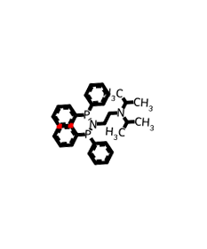 CC(C)N(CCN(P(c1ccccc1)c1ccccc1)P(c1ccccc1)c1ccccc1)C(C)C